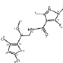 COC(CNC(=O)c1c(C)nn(C)c1F)c1sc(Cl)cc1Cl